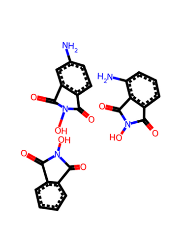 Nc1ccc2c(c1)C(=O)N(O)C2=O.Nc1cccc2c1C(=O)N(O)C2=O.O=C1c2ccccc2C(=O)N1O